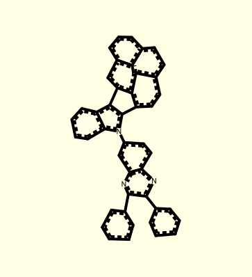 c1ccc(-c2nc3ccc(-n4c5c(c6ccccc64)-c4cc6cccc7ccc8ccc-5c4c8c76)cc3nc2-c2ccccc2)cc1